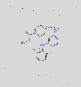 CN(CC1CCN(C(=O)OC(C)(C)C)CC1)c1cc(Nc2c(F)cccc2F)ncn1